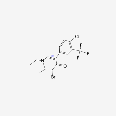 CCN(/C=C(\C(=O)CBr)c1ccc(Cl)c(C(F)(F)F)c1)CC